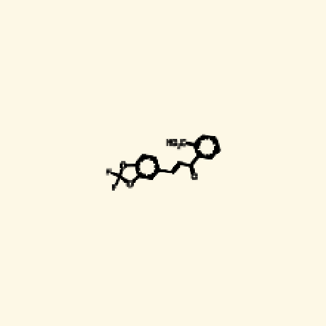 O=C(O)c1ccccc1C(=O)/C=C/c1ccc2c(c1)OC(F)(F)O2